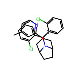 Cc1ccnc(C2(C#N)CC3CCC(C2)N3C(c2ccccc2Cl)c2ccccc2Cl)c1